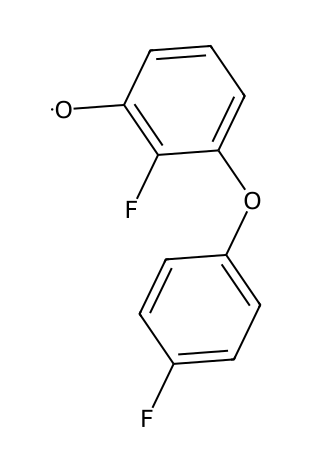 [O]c1cccc(Oc2ccc(F)cc2)c1F